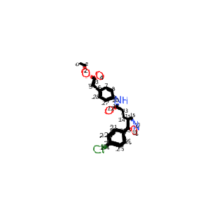 CCOC(=O)Cc1ccc(NC(=O)CCc2cnoc2-c2ccc(Cl)cc2)cc1